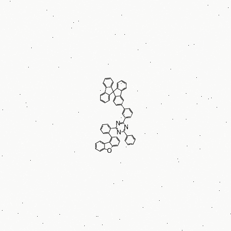 c1ccc(-c2nc(-c3cccc(-c4ccc5c(c4)-c4ccccc4C54c5ccccc5-c5ccccc54)c3)nc(-c3ccccc3-c3cccc4oc5ccccc5c34)n2)cc1